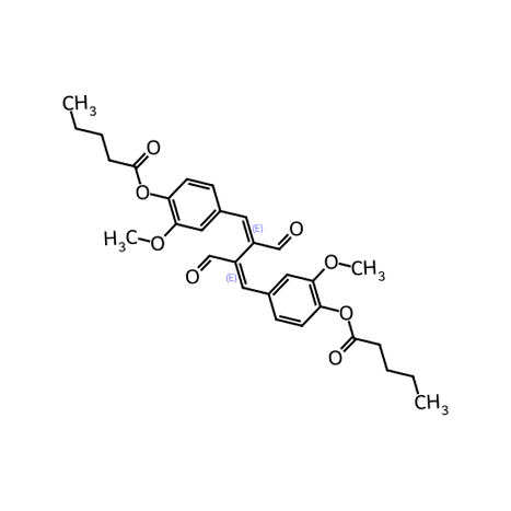 CCCCC(=O)Oc1ccc(/C=C(C=O)\C(C=O)=C/c2ccc(OC(=O)CCCC)c(OC)c2)cc1OC